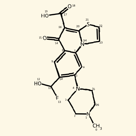 CN1CCN(c2cc3c(cc2C(O)F)c(=O)c(C(=O)O)c2sccn23)CC1